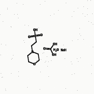 O.O=C(O)O.O=S(=O)(O)CCN1CCOCC1.[NaH]